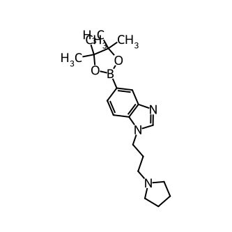 CC1(C)OB(c2ccc3c(c2)ncn3CCCN2CCCC2)OC1(C)C